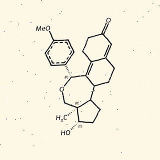 COc1ccc([C@H]2OC[C@@]3(C)C(CC[C@@H]3O)C3CCC4=CC(=O)CCC4=C32)cc1